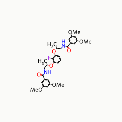 COc1cc(OC)cc(C(=O)NC[C@H](C)Oc2cccc(O[C@@H](C)CNC(=O)c3cc(OC)cc(OC)c3)c2I)c1